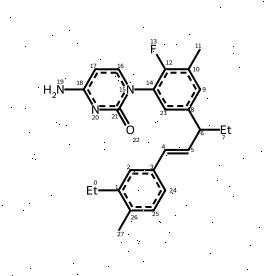 CCc1cc(/C=C/C(CC)c2cc(C)c(F)c(-n3ccc(N)nc3=O)c2)ccc1C